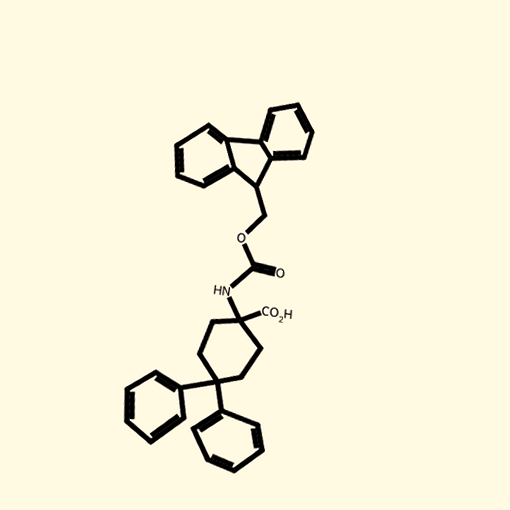 O=C(NC1(C(=O)O)CCC(c2ccccc2)(c2ccccc2)CC1)OCC1c2ccccc2-c2ccccc21